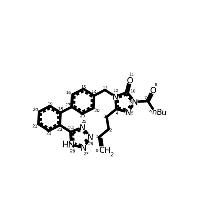 C=CCCc1nn(C(=O)CCCC)c(=O)n1Cc1ccc(-c2ccccc2-c2nnn[nH]2)cc1